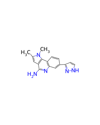 Cc1cc2c(N)nc3cc(-c4cc[nH]n4)ccc3c2n1C